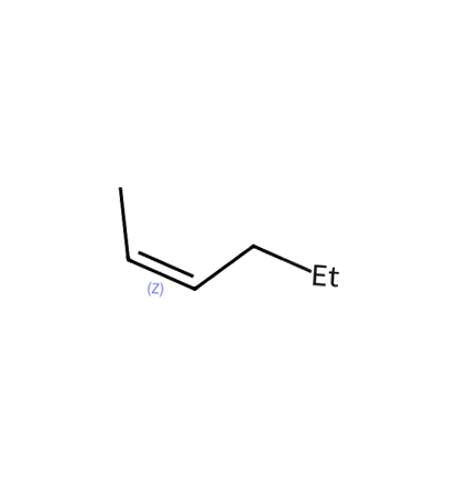 [CH2]CC/C=C\C